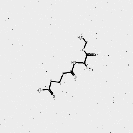 CCOC(=O)C(C)NC(=O)CCCC(C)=O